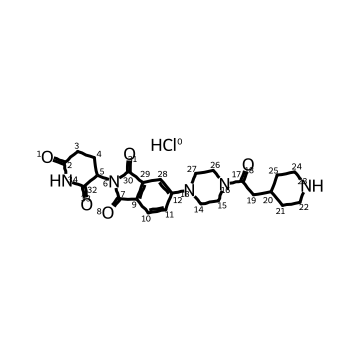 Cl.O=C1CCC(N2C(=O)c3ccc(N4CCN(C(=O)CC5CCNCC5)CC4)cc3C2=O)C(=O)N1